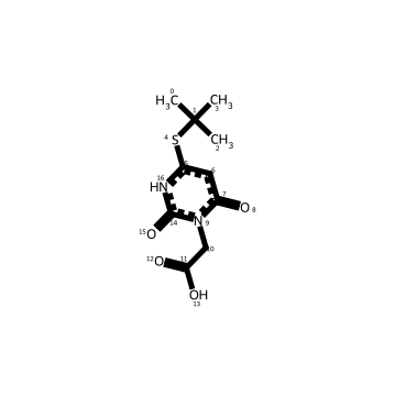 CC(C)(C)Sc1cc(=O)n(CC(=O)O)c(=O)[nH]1